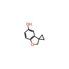 Oc1ccc2c(c1)C1(CC1)CO2